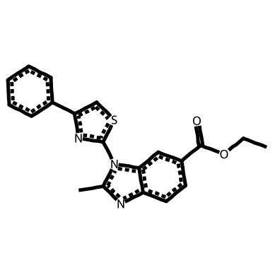 CCOC(=O)c1ccc2nc(C)n(-c3nc(-c4ccccc4)cs3)c2c1